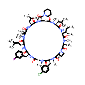 CC[C@H](C)[C@@H]1NC(=O)[C@H](CC(C)C)N(C)C(=O)C[C@@H](C(=O)N2CCCCC2)N(C)C(=O)[C@H](CC(C)C)NC(=O)C(C)(C)N(C)C(=O)[C@H](CC=C(C)C)NC(=O)[C@H](Cc2cccc(I)c2)NC(=O)CN(C)C(=O)[C@H](Cc2ccc(Cl)cc2)N(C)C(=O)[C@@H]2CCN2C(=O)[C@H](C)N(C)C1=O